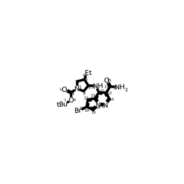 CCC1CN(C(=O)OC(C)(C)C)CC1Nc1c(C(N)=O)cnn2cc(Br)cc12